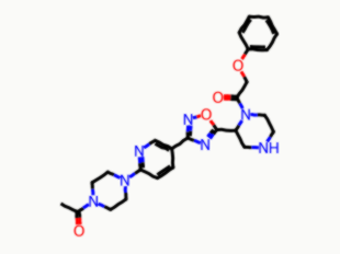 CC(=O)N1CCN(c2ccc(-c3noc(C4CNCCN4C(=O)COc4ccccc4)n3)cn2)CC1